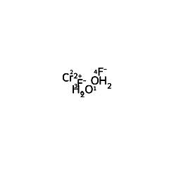 O.O.[Cr+2].[F-].[F-]